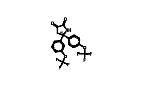 O=C1C[C@@](c2ccc(OC(F)(F)F)cc2)(c2cccc(OC(F)(F)F)c2)NC1=O